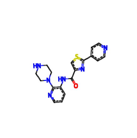 O=C(Nc1cccnc1N1CCNCC1)c1csc(-c2ccncc2)n1